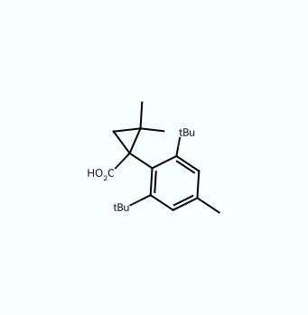 Cc1cc(C(C)(C)C)c(C2(C(=O)O)CC2(C)C)c(C(C)(C)C)c1